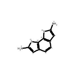 Nc1cc2ccc3cc(N)sc3c2s1